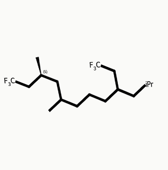 CC(C)CC(CCCC(C)C[C@H](C)CC(F)(F)F)CC(F)(F)F